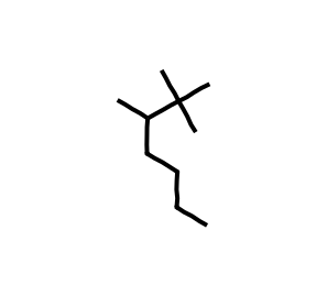 CCCCC(C)C(C)(C)C